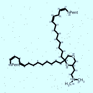 CCCCC/C=C\C/C=C\CCCCCCCCC1(CCCCCCCC/C=C\C/C=C\CCCCC)COCC(CCN(C)C)O1